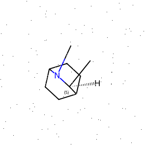 C[C@H]1C2CCC(CC2)N1C